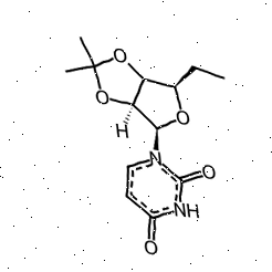 CC[C@H]1O[C@@H](n2ccc(=O)[nH]c2=O)[C@H]2OC(C)(C)OC12